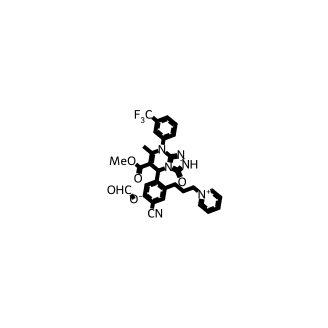 COC(=O)C1=C(C)N(c2cccc(C(F)(F)F)c2)c2n[nH]c(=O)n2C1c1ccc(C#N)cc1CCC[n+]1ccccc1.O=C[O-]